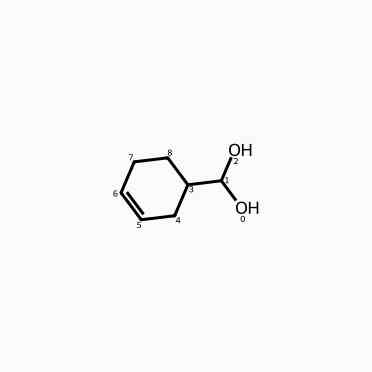 OC(O)C1CC=CCC1